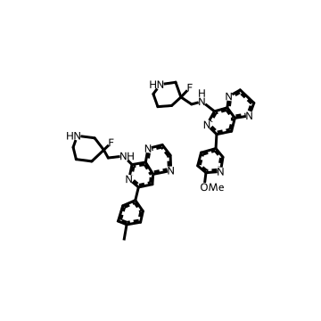 COc1ccc(-c2cc3nccnc3c(NCC3(F)CCCNC3)n2)cn1.Cc1ccc(-c2cc3nccnc3c(NCC3(F)CCCNC3)n2)cc1